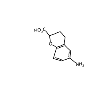 Nc1ccc2c(c1)CCC(C(=O)O)O2